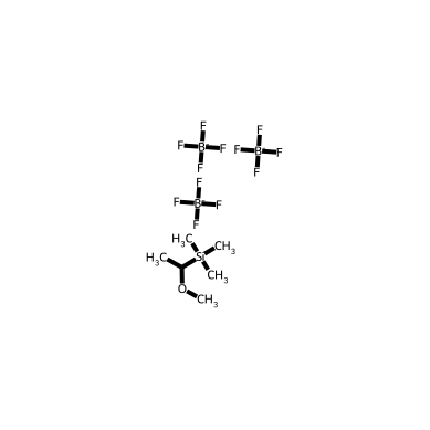 COC(C)[Si](C)(C)C.F[B-](F)(F)F.F[B-](F)(F)F.F[B-](F)(F)F